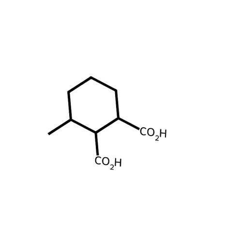 CC1CCCC(C(=O)O)C1C(=O)O